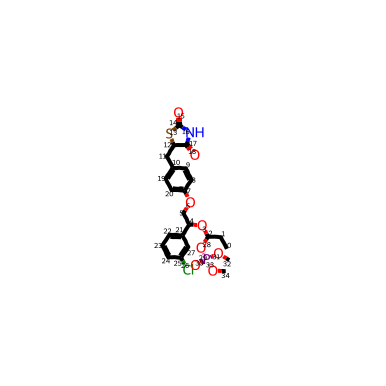 CCC(OC(COc1ccc(CC2SC(=O)NC2=O)cc1)c1cccc(Cl)c1)OP(=O)(OC)OC